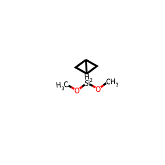 C1C2CC12.CO[SiH2]OC